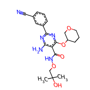 CC(C)(O)CONC(=O)c1c(N)nc(-c2cccc(C#N)c2)nc1OC1CCCOC1